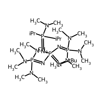 CC(C)P(=NP(=NC(C)(C)C)(N=P(N(C)C)(N(C)C)N(C)C)N=P(N(C)C)(N(C)C)N(C)C)(C(C)C)N(C)C